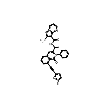 CC(NC(=O)c1c(N)nn2cccnc12)c1cc2cccc(C#Cc3ccn(C)n3)c2c(=O)n1-c1ccccc1